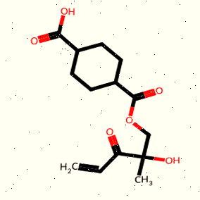 C=CC(=O)C(C)(O)COC(=O)C1CCC(C(=O)O)CC1